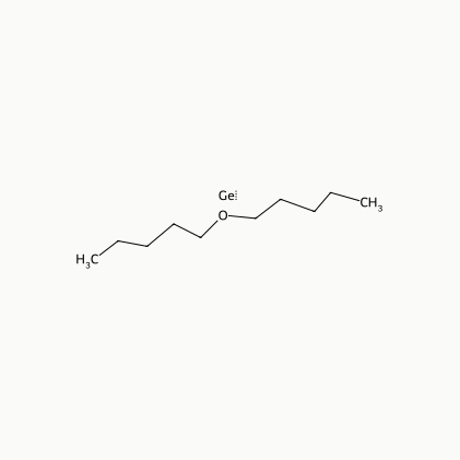 CCCCCOCCCCC.[Ge]